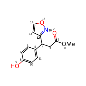 COC(=O)CC(c1ccc(O)cc1)c1ccon1